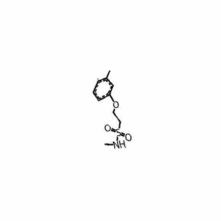 CNS(=O)(=O)CCOc1cc[c]c(C)c1